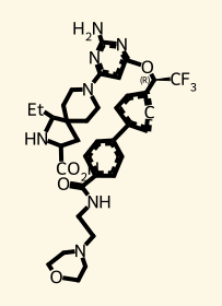 CCC1NC(C(=O)O)CC12CCN(c1cc(O[C@H](c3ccc(-c4ccc(C(=O)NCCN5CCOCC5)cc4)cc3)C(F)(F)F)nc(N)n1)CC2